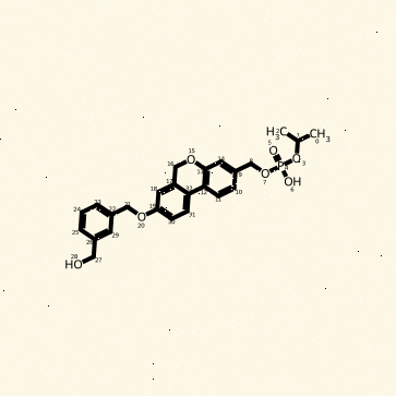 CC(C)OP(=O)(O)OCc1ccc2c(c1)OCc1cc(OCc3cccc(CO)c3)ccc1-2